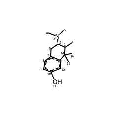 CC1[C@H](N(C)C)Cc2ccc(O)cc2C1(C)C